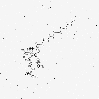 CCCCCCCCCCCCCC(=O)N[C@H](C(=O)N[C@H](CCC(=O)O)C(=O)OC)C(C)C